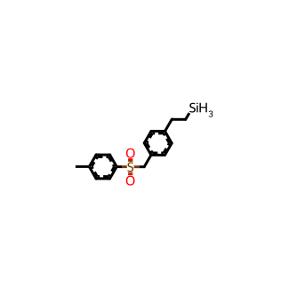 Cc1ccc(S(=O)(=O)Cc2ccc(CC[SiH3])cc2)cc1